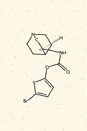 O=C(N[C@@H]1CN2CCC1CC2)Oc1ccc(Br)s1